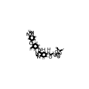 CCOP(=O)(OCC)OCC(=O)Nc1ccc2ncnc(Nc3ccc(Oc4ccn5ncnc5c4)c(C)c3)c2c1